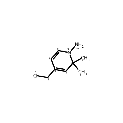 CC1(C)C=C(CCl)C=CN1N